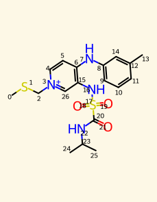 CSC[n+]1ccc(Nc2cccc(C)c2)c(NS(=O)(=O)C(=O)NC(C)C)c1